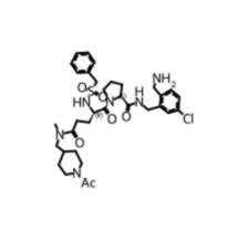 CC(=O)N1CCC(CN(C)C(=O)CC[C@@H](NS(=O)(=O)Cc2ccccc2)C(=O)N2CCC[C@H]2C(=O)NCc2cc(Cl)ccc2CN)CC1